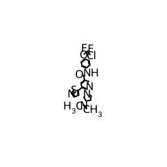 CN(C)C1CCN(c2ncc(C(=O)Nc3ccc(OC(F)(F)Cl)cc3)cc2-c2ccns2)C1